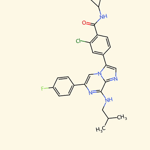 CC(C)CNc1nc(-c2ccc(F)cc2)cn2c(-c3ccc(C(=O)NC4CC4)c(Cl)c3)cnc12